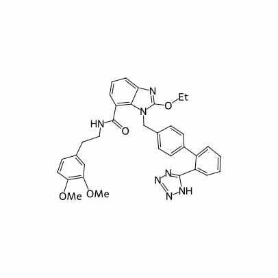 CCOc1nc2cccc(C(=O)NCCc3ccc(OC)c(OC)c3)c2n1Cc1ccc(-c2ccccc2-c2nnn[nH]2)cc1